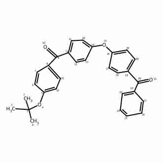 CC(C)(C)Oc1ccc(C(=O)c2ccc(Oc3ccc(C(=O)c4ccccc4)cc3)cc2)cc1